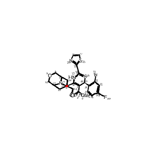 COC(=O)C1=C(CN2C3COCC2CC(CC(=O)O)C3)NC(c2nccs2)=N[C@H]1c1ccc(F)cc1Br